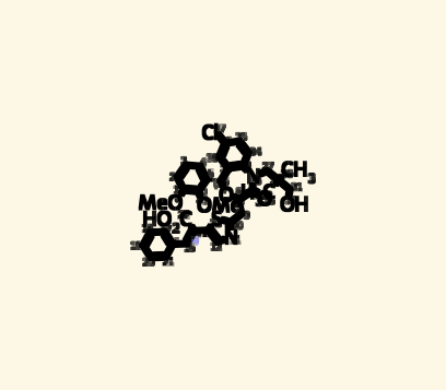 COc1cccc([C@H]2O[C@H](Cc3ncc(/C(=C/c4ccccc4)C(=O)O)s3)C(=O)N(CC(C)(C)CO)c3ccc(Cl)cc32)c1OC